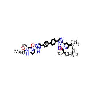 COC(=O)N[C@H](C(=O)N1CCC[C@H]1c1ncc(C23CCC(c4ccc(-c5cnc([C@@H]6CC(=C(C)C)CN6C(=O)[C@@H](C)C(C)C)[nH]5)cc4)(CC2)CC3)[nH]1)C(C)C